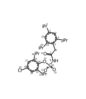 CC(C)c1cc(C(C)C)c(CC(=O)NS(=O)(=O)Oc2c(C(C)C)cc(Cl)cc2C(C)C)c(C(C)C)c1